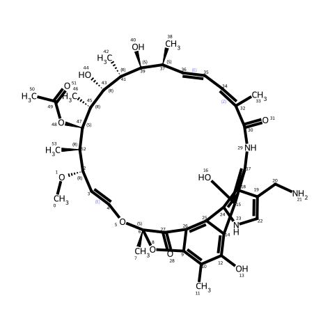 CO[C@H]1/C=C/O[C@@]2(C)Oc3c(C)c(O)c4c(O)c(c5c(CN)c[nH]c5c4c3C2=O)NC(=O)/C(C)=C\C=C\[C@H](C)[C@H](O)[C@@H](C)[C@@H](O)[C@@H](C)[C@H](OC(C)=O)[C@@H]1C